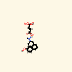 COc1ccc2cccc3c2c1CC(N(C)C)C3.O=C(O)C=CC(=O)O